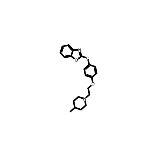 CC1CCN(CCOc2ccc(Oc3nc4ccccc4o3)cc2)CC1